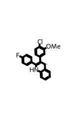 COc1cc(C2=C(c3ccc(F)cc3)Nc3ccccc3[CH]2)ccc1Cl